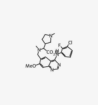 COc1cc2ncnc(Nc3cccc(Cl)c3F)c2cc1CN(C)C(C(=O)O)C1CCN(C)C1